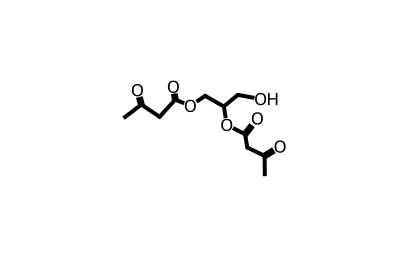 CC(=O)CC(=O)OCC(CO)OC(=O)CC(C)=O